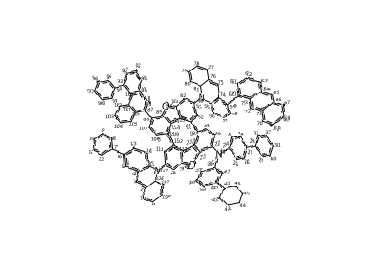 C1=CC2=Cc3cc(-c4ccccc4)ccc3N(c3cc4oc5c(N(c6ccc(-c7ccccc7)cc6)c6cccc(C7CCCCC7)c6)ccc6c7cc(N8c9cccc(-c%10cccc%11cc%12ccccc%12cc%10%11)c9C=C9C=CC=CC98)cc8oc9c(-c%10nc%11cccc(-c%12ccccc%12)c%11c%11ccccc%10%11)ccc(c(c3)c4c56)c9c87)C2C=C1